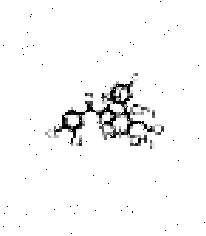 CC1=C(CC=O)C(C)(c2cccc(F)c2)c2c(sc(C(=O)c3ccc(Cl)c(Cl)c3)c2N)N1